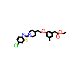 CCOC(=O)Cc1cc(C)cc(OCCC2CCN(c3nc4ccc(Cl)cc4s3)CC2)c1